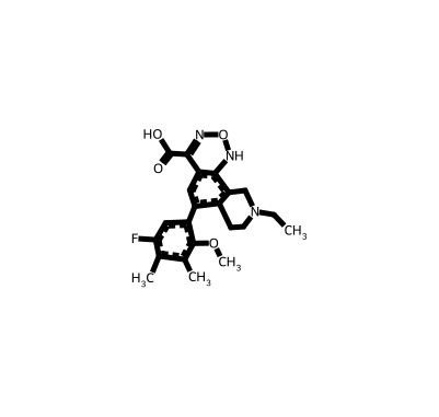 CCN1CCc2c(-c3cc(F)c(C)c(C)c3OC)cc3c(c2C1)NON=C3C(=O)O